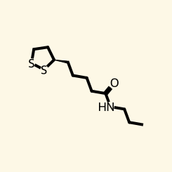 CCCNC(=O)CCCC[C@@H]1CCSS1